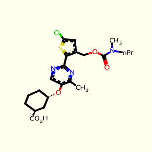 CCCN(C)C(=O)OCc1cc(Cl)sc1-c1ncc(O[C@H]2CCC[C@H](C(=O)O)C2)c(C)n1